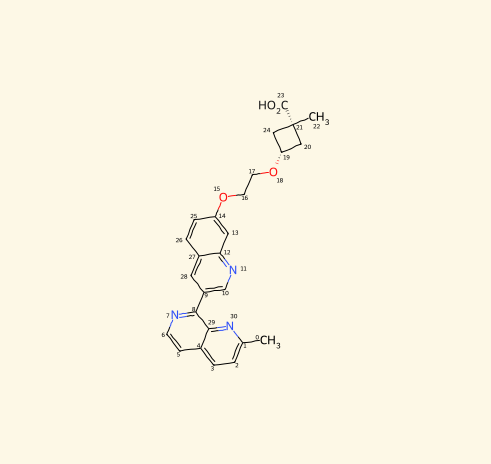 Cc1ccc2ccnc(-c3cnc4cc(OCCO[C@H]5C[C@@](C)(C(=O)O)C5)ccc4c3)c2n1